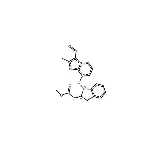 COC(=O)O[C@@H]1Cc2ccccc2[C@H]1Oc1cccn2c(C=O)c(C)nc12